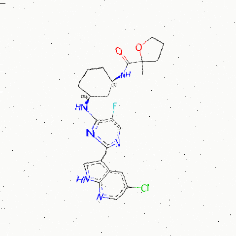 CC1(C(=O)N[C@@H]2CCC[C@H](Nc3nc(-c4c[nH]c5ncc(Cl)cc45)ncc3F)C2)CCCO1